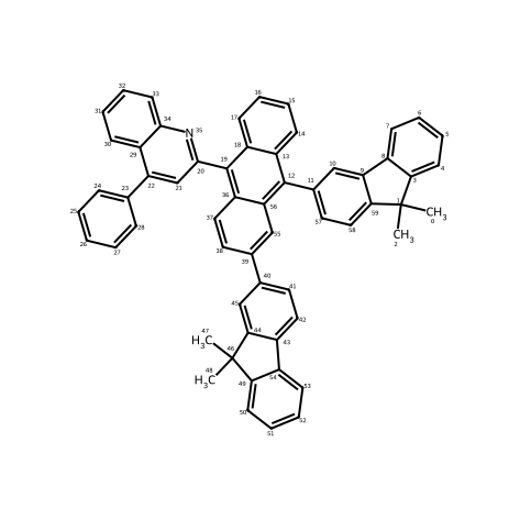 CC1(C)c2ccccc2-c2cc(-c3c4ccccc4c(-c4cc(-c5ccccc5)c5ccccc5n4)c4ccc(-c5ccc6c(c5)C(C)(C)c5ccccc5-6)cc34)ccc21